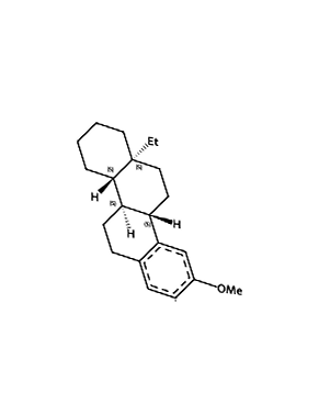 CC[C@@]12CCCC[C@H]1[C@@H]1CCc3c[c]c(OC)cc3[C@H]1CC2